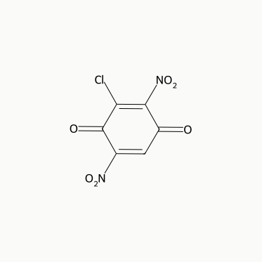 O=C1C=C([N+](=O)[O-])C(=O)C(Cl)=C1[N+](=O)[O-]